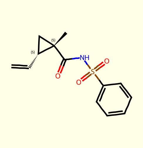 C=C[C@@H]1C[C@]1(C)C(=O)NS(=O)(=O)c1ccccc1